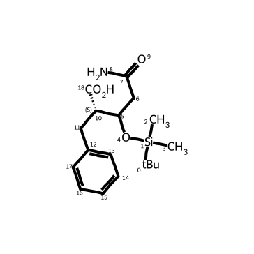 CC(C)(C)[Si](C)(C)OC(CC(N)=O)[C@H](Cc1ccccc1)C(=O)O